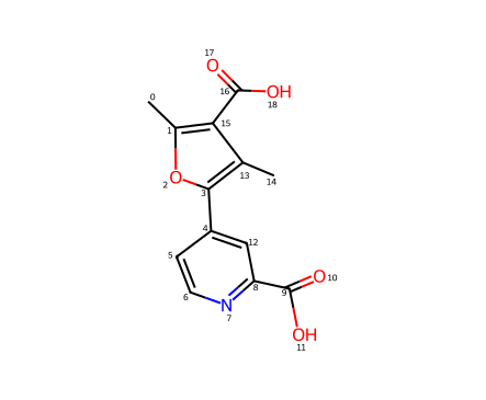 Cc1oc(-c2ccnc(C(=O)O)c2)c(C)c1C(=O)O